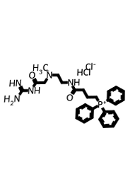 CN(CCNC(=O)CCC[P+](c1ccccc1)(c1ccccc1)c1ccccc1)CC(=O)NC(=N)N.Cl.[Cl-]